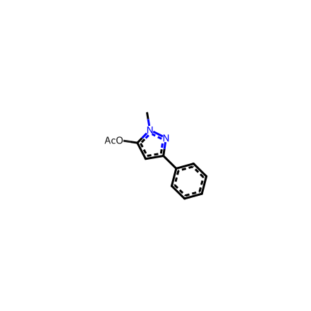 CC(=O)Oc1cc(-c2ccccc2)nn1C